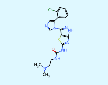 CN(C)CCNC(=O)Nc1nc2[nH]nc(-n3cncc3-c3ccccc3Cl)c2s1